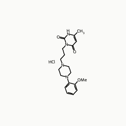 COc1ccccc1N1CCN(CCCn2c(=O)cc(C)[nH]c2=O)CC1.Cl